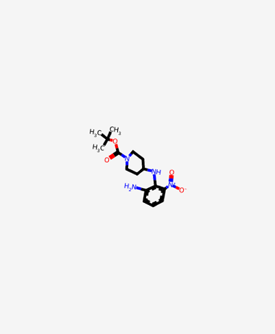 CC(C)(C)OC(=O)N1CCC(Nc2c(N)cccc2[N+](=O)[O-])CC1